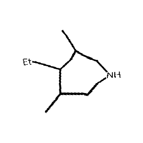 [CH2]CC1C(C)CNCC1C